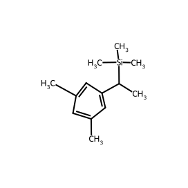 Cc1cc(C)cc(C(C)[Si](C)(C)C)c1